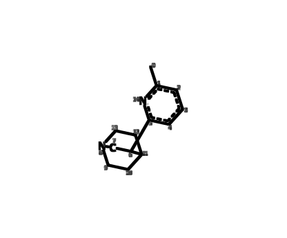 Cc1cccc(C2CN3CCC2CC3)n1